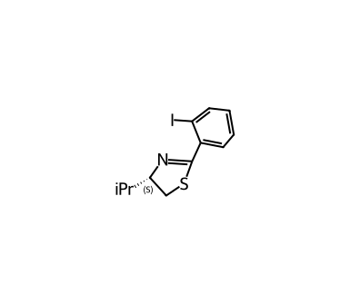 CC(C)[C@H]1CSC(c2ccccc2I)=N1